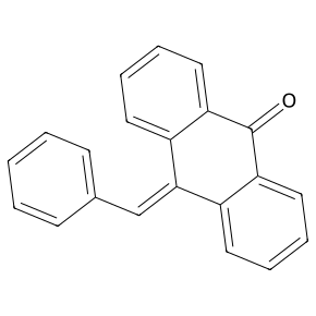 O=C1c2ccccc2C(=Cc2ccccc2)c2ccccc21